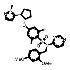 COc1ccc(CN(c2ccncn2)S(=O)(=O)c2c(F)cc(O[C@H]3CCC[C@@H]3c3ccnn3C)cc2F)c(OC)c1